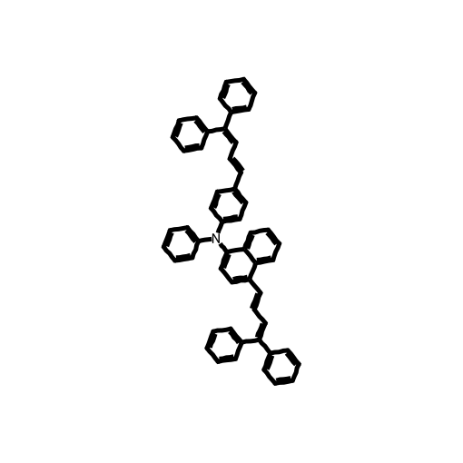 C(/C=C/c1ccc(N(c2ccccc2)c2ccc(/C=C/C=C(c3ccccc3)c3ccccc3)c3ccccc23)cc1)=C(c1ccccc1)c1ccccc1